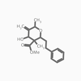 C=C1C(C)OC(CCc2ccccc2)C(C)(C(=O)OC)C1O